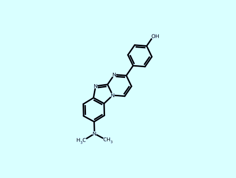 CN(C)c1ccc2nc3nc(-c4ccc(O)cc4)ccn3c2c1